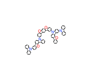 c1ccc2c(c1)oc1c2ccc2c1c1cc(-n3c4ccccc4c4ccccc43)ccc1n2-c1ccc2oc3cc4oc5ccc(-n6c7ccccc7c7c8oc9ccc(-n%10c%11ccccc%11c%11ccccc%11%10)cc9c8ccc76)cc5c4cc3c2c1